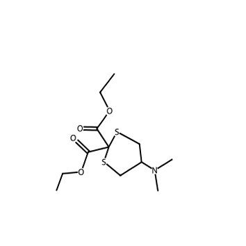 CCOC(=O)C1(C(=O)OCC)SCC(N(C)C)CS1